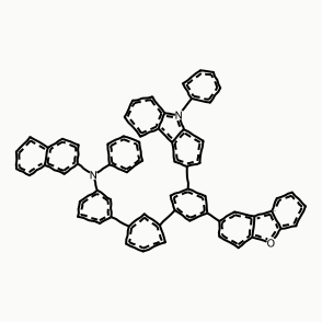 c1ccc(N(c2cccc(-c3cccc(-c4cc(-c5ccc6oc7ccccc7c6c5)cc(-c5ccc6c(c5)c5ccccc5n6-c5ccccc5)c4)c3)c2)c2ccc3ccccc3c2)cc1